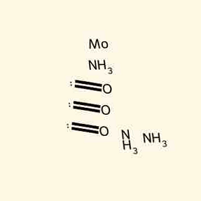 N.N.N.[C]=O.[C]=O.[C]=O.[Mo]